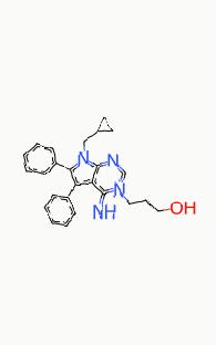 N=c1c2c(-c3ccccc3)c(-c3ccccc3)n(CC3CC3)c2ncn1CCCO